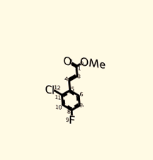 COC(=O)/C=C/c1c[c]c(F)cc1Cl